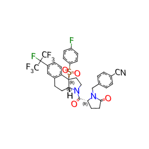 N#Cc1ccc(CN2C(=O)CC[C@@H]2C(=O)N2CC[C@@]3(S(=O)(=O)c4ccc(F)cc4)c4ccc(C(F)(C(F)(F)F)C(F)(F)F)cc4CC[C@@H]23)cc1